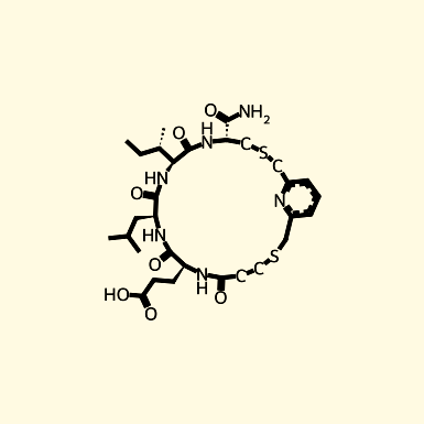 CC[C@H](C)[C@@H]1NC(=O)[C@H](CC(C)C)NC(=O)[C@H](CCC(=O)O)NC(=O)CCSCc2cccc(n2)CSC[C@@H](C(N)=O)NC1=O